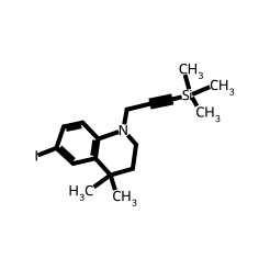 CC1(C)CCN(CC#C[Si](C)(C)C)c2ccc(I)cc21